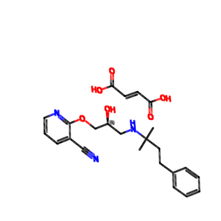 CC(C)(CCc1ccccc1)NC[C@H](O)COc1ncccc1C#N.O=C(O)C=CC(=O)O